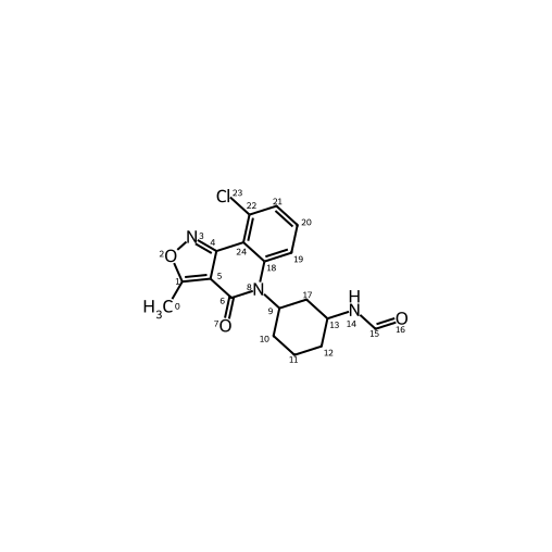 Cc1onc2c1c(=O)n(C1CCCC(NC=O)C1)c1cccc(Cl)c21